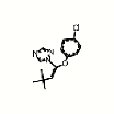 CC(C)(C)C=C(Oc1ccc(Cl)cc1)n1cncn1